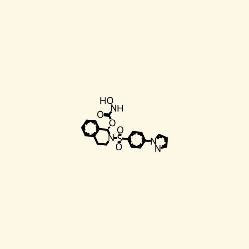 O=C(NO)O[C@@H]1c2ccccc2CCN1S(=O)(=O)c1ccc(-n2cccn2)cc1